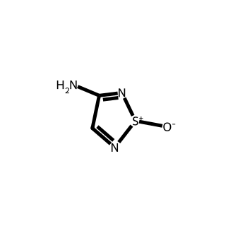 Nc1cn[s+]([O-])n1